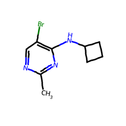 Cc1ncc(Br)c(NC2CCC2)n1